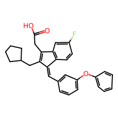 O=C(O)CC1=C(CC2CCCC2)/C(=C/c2cccc(Oc3ccccc3)c2)c2ccc(F)cc21